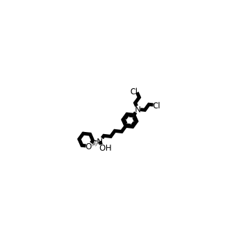 ON(CCCCc1ccc(N(CCCl)CCCl)cc1)[C@H]1CCCCO1